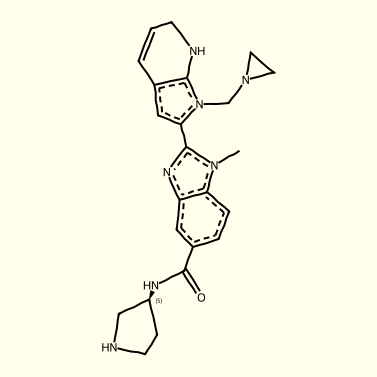 Cn1c(-c2cc3c(n2CN2CC2)NCC=C3)nc2cc(C(=O)N[C@H]3CCNC3)ccc21